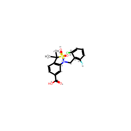 CC1(C)c2ccc(C(=O)O)cc2N(Cc2c(F)cccc2Cl)S1(=O)=O